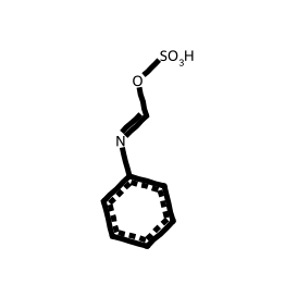 O=S(=O)(O)OC=Nc1ccccc1